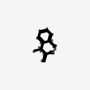 C[C@H](C(=O)Cl)c1ccccc1Br